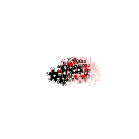 BBB(B)B(B(B)B)c1c(B(B(B)B)B(B)B)c(B(BB)B(B)B)c(B(B)B(B)B)c2c(B(B)BB)c(-c3c(C)c(C)c(C)c4c(C)c5c(-c6c(C)c(C)c(C)c(C)c6C)c(C)c(C)c(C)c5c(C)c34)c(BB)c(B)c12